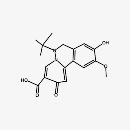 COc1cc2c(cc1O)CN(C(C)(C)C)n1cc(C(=O)O)c(=O)cc1-2